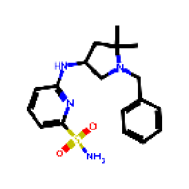 CC1(C)CC(Nc2cccc(S(N)(=O)=O)n2)CN1Cc1ccccc1